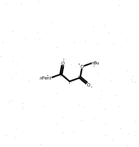 CCCCCC(=O)CC(=O)OCCCC